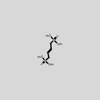 COP(=O)(CC=CCP(=O)(OC)OC)OC